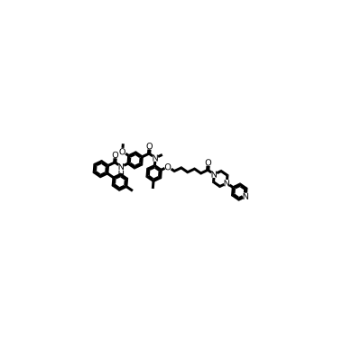 COc1cc(C(=O)N(C)c2ccc(C)cc2OCCCCCC(=O)N2CCN(c3ccncc3)CC2)ccc1NC(=O)c1ccccc1-c1ccc(C)cc1